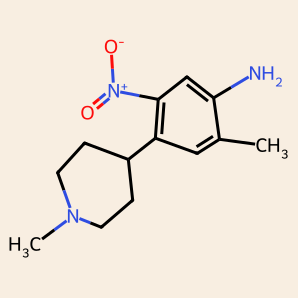 Cc1cc(C2CCN(C)CC2)c([N+](=O)[O-])cc1N